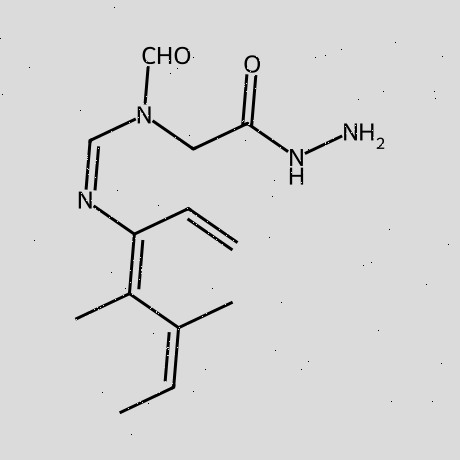 C=CC(/N=C\N(C=O)CC(=O)NN)=C(C)\C(C)=C/C